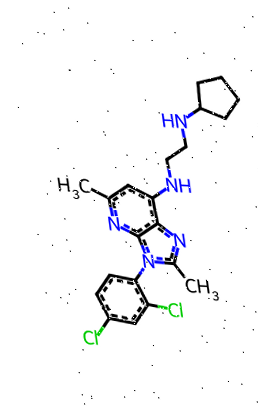 Cc1cc(NCCNC2CCCC2)c2nc(C)n(-c3ccc(Cl)cc3Cl)c2n1